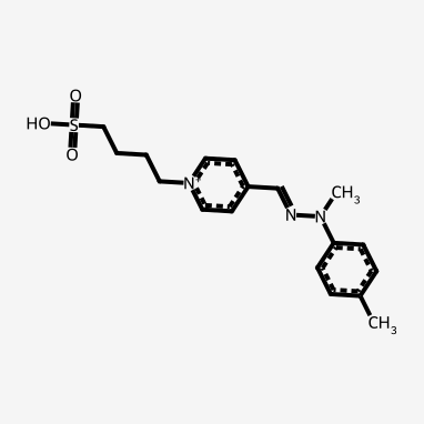 Cc1ccc(N(C)N=Cc2cc[n+](CCCCS(=O)(=O)O)cc2)cc1